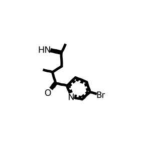 CC(=N)CC(C)C(=O)c1ccc(Br)cn1